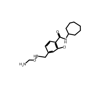 NCOBCc1ccc(C(=O)NC2CCCCCC2)c(Cl)c1